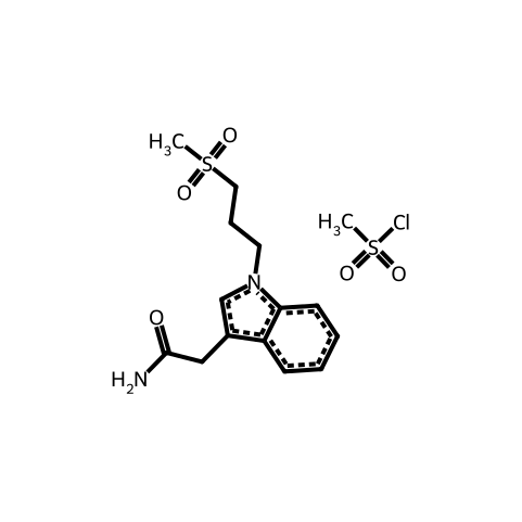 CS(=O)(=O)CCCn1cc(CC(N)=O)c2ccccc21.CS(=O)(=O)Cl